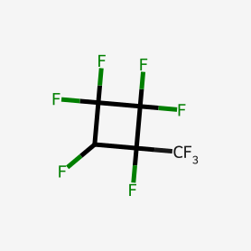 FC1C(F)(F)C(F)(F)C1(F)C(F)(F)F